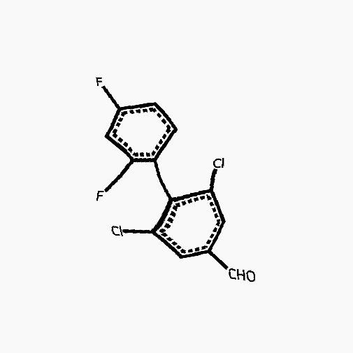 O=Cc1cc(Cl)c(-c2ccc(F)cc2F)c(Cl)c1